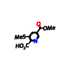 COC(=O)c1cnc(C(=O)O)c(SC)c1